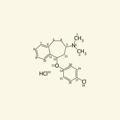 CN(C)C1CCc2ccccc2C(Oc2ccc(Cl)cc2)C1.Cl